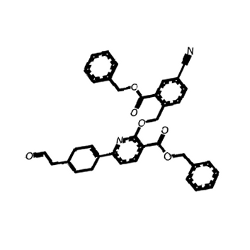 N#Cc1ccc(COc2nc(C3=CCC(CC=O)CC3)ccc2C(=O)OCc2ccccc2)c(C(=O)OCc2ccccc2)c1